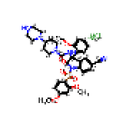 CCOc1ccccc1C1(NC(=O)N2CCC(N3CCNCC3)CC2)C(=O)N(S(=O)(=O)c2ccc(OC)cc2OC)c2ccc(C#N)cc21.Cl.Cl